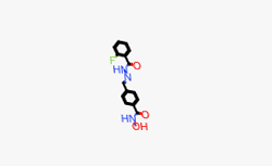 O=C(NO)c1ccc(C=NNC(=O)c2ccccc2F)cc1